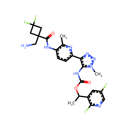 Cc1nc(-c2nnn(C)c2NC(=O)OC(C)c2cc(F)cnc2F)ccc1NC(=O)C1(CN)CC(F)(F)C1